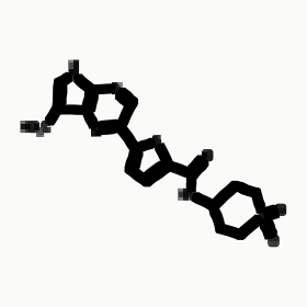 O=C(NC1CCS(=O)(=O)CC1)c1ccc(-c2cnc3[nH]cc(C(=O)O)c3n2)s1